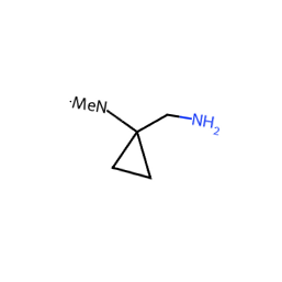 C[N]C1(CN)CC1